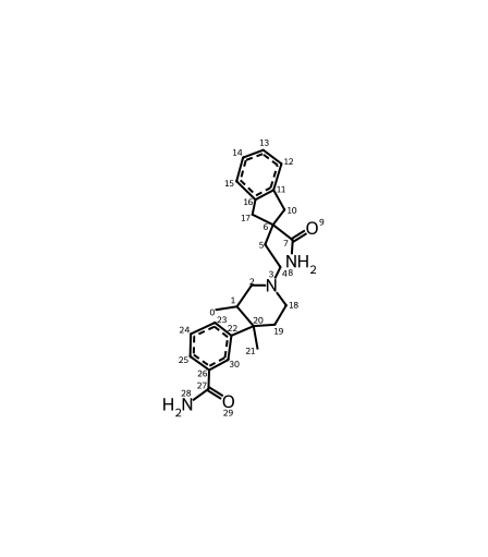 CC1CN(CCC2(C(N)=O)Cc3ccccc3C2)CCC1(C)c1cccc(C(N)=O)c1